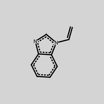 C=Cn1[c]nc2ccccc21